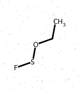 CCOSF